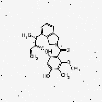 C=CC(=O)N(C)c1cccc2c1CN(C(=O)c1c(O)cc(O)c(C)c1OC)C2